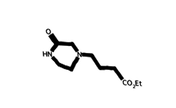 CCOC(=O)CCCN1CCNC(=O)C1